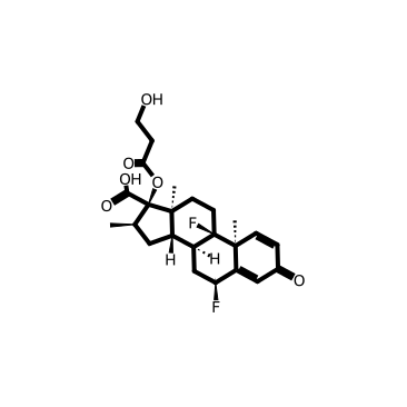 C[C@@H]1C[C@H]2[C@@H]3C[C@H](F)C4=CC(=O)C=C[C@]4(C)[C@@]3(F)CC[C@]2(C)[C@@]1(OC(=O)CCO)C(=O)O